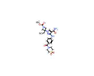 CC(C)(C)OC(=O)N1CC(CC#N)(n2cc(C(N)=O)c(Nc3c#cc(C(=O)N4CCS(=O)(=O)CC4)cc3)n2)C1